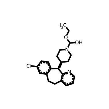 CCOC(O)N1CCC(=C2c3ccc(Cl)cc3CCc3cccnc32)CC1